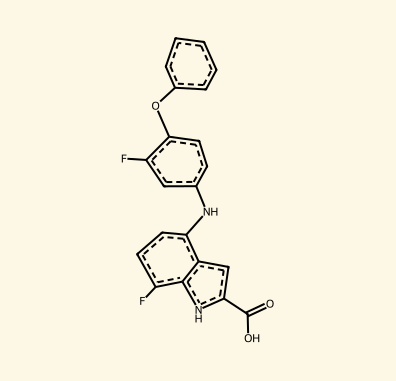 O=C(O)c1cc2c(Nc3ccc(Oc4ccccc4)c(F)c3)ccc(F)c2[nH]1